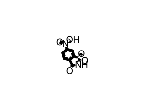 O=C1NS(=O)(=O)c2cc([N+](=O)O)ccc21